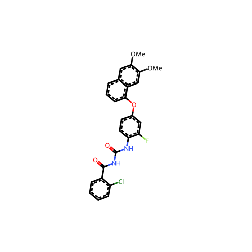 COc1cc2cccc(Oc3ccc(NC(=O)NC(=O)c4ccccc4Cl)c(F)c3)c2cc1OC